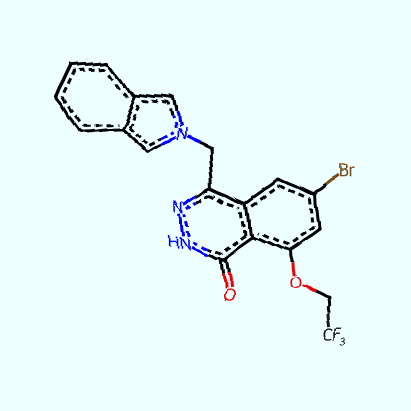 O=c1[nH]nc(Cn2cc3ccccc3c2)c2cc(Br)cc(OCC(F)(F)F)c12